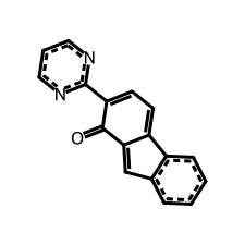 O=C1C2=Cc3ccccc3C2=CC=C1c1ncccn1